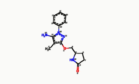 Cc1c(OCC2CCC(=O)N2)nn(-c2ccccc2)c1N